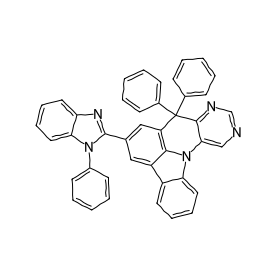 c1ccc(-n2c(-c3cc4c5c(c3)c3ccccc3n5-c3cncnc3C4(c3ccccc3)c3ccccc3)nc3ccccc32)cc1